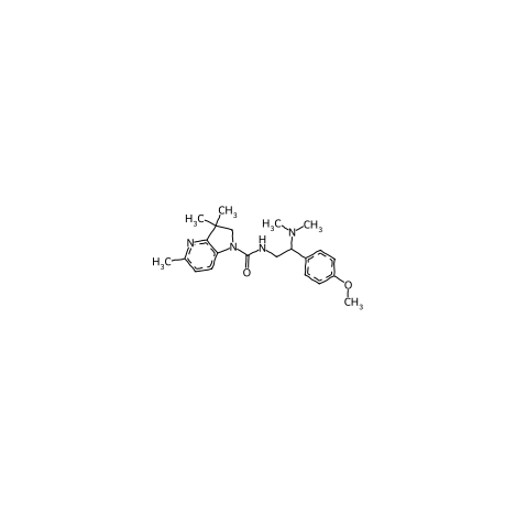 COc1ccc(C(CNC(=O)N2CC(C)(C)c3nc(C)ccc32)N(C)C)cc1